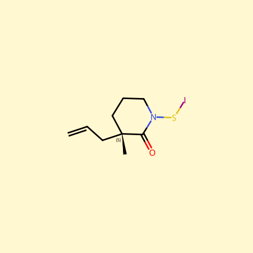 C=CC[C@]1(C)CCCN(SI)C1=O